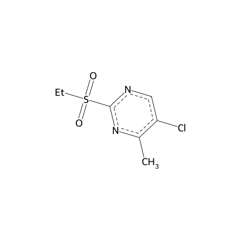 CCS(=O)(=O)c1ncc(Cl)c(C)n1